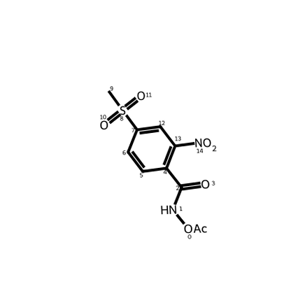 CC(=O)ONC(=O)c1ccc(S(C)(=O)=O)cc1[N+](=O)[O-]